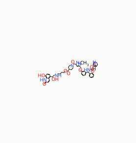 Cn1nc(C(=O)N2CCC(C(=O)OCCCCNC[C@@H](O)c3ccc(O)c4[nH]c(=O)ccc34)CC2)cc1COc1cccc(C(NC(=O)O[C@H]2CN3CCC2CC3)c2ccccc2)c1